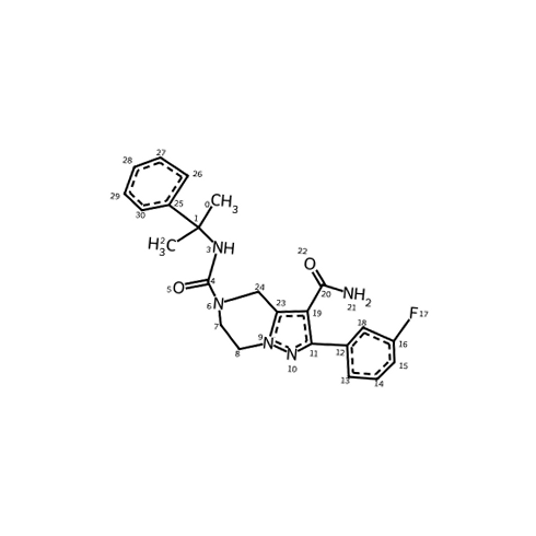 CC(C)(NC(=O)N1CCn2nc(-c3cccc(F)c3)c(C(N)=O)c2C1)c1ccccc1